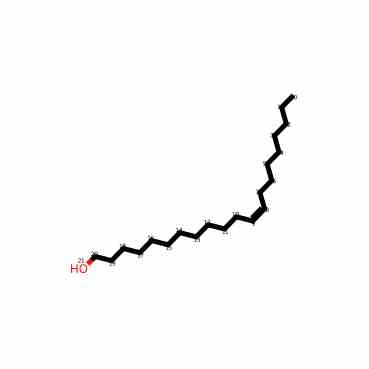 CCCCCCCC/C=C\CCCCCCCC[CH]CCO